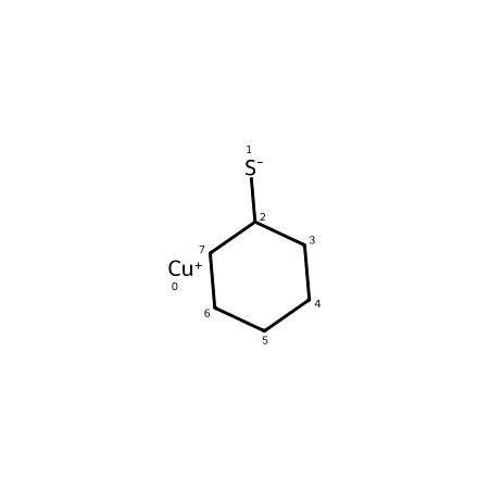 [Cu+].[S-]C1CCCCC1